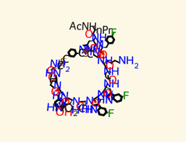 CCC[C@H](NC(C)=O)C(=O)N[C@H](Cc1cnc[nH]1)C(=O)N(C)[C@@H](Cc1ccc(F)cc1)C(=O)N[C@H]1CSCc2cccc(c2)CSC[C@@H](C(N)=O)NC(=O)[C@@H]2CCCN2C(=O)[C@H](Cc2ccc(O)cc2)NC(=O)[C@H](Cc2c[nH]cn2)NC(=O)[C@H](CC(=O)O)NC(=O)[C@H](Cc2c[nH]c3ccc(F)cc23)NC(=O)[C@H](Cc2c[nH]c3ccc(F)cc23)NC(=O)CNC(=O)[C@H](CCCCN)NC1=O